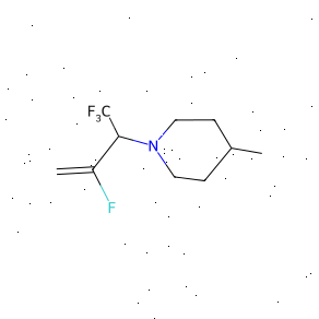 C=C(F)C(N1CCC(C)CC1)C(F)(F)F